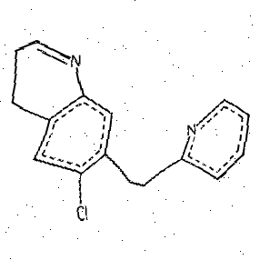 Clc1cc2c(cc1Cc1ccccn1)N=CCC2